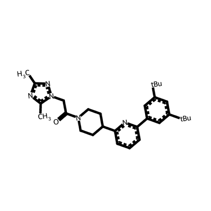 Cc1nc(C)n(CC(=O)N2CCC(c3cccc(-c4cc(C(C)(C)C)cc(C(C)(C)C)c4)n3)CC2)n1